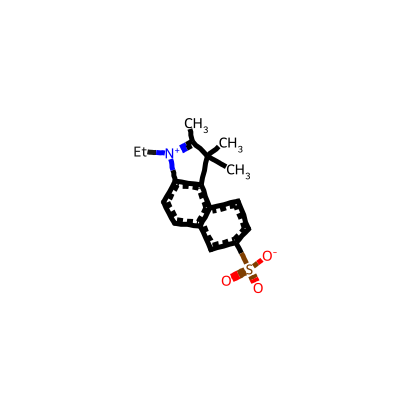 CC[N+]1=C(C)C(C)(C)c2c1ccc1cc(S(=O)(=O)[O-])ccc21